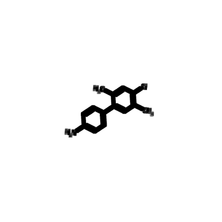 Cc1cc(-c2ccc(N)cc2)c(C)cc1Cl